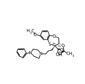 COc1ccc2c(c1)S[C@@](CCCN1CCN(c3ccccc3)CC1)(C(=O)O)[C@@H](OC(C)=O)CO2